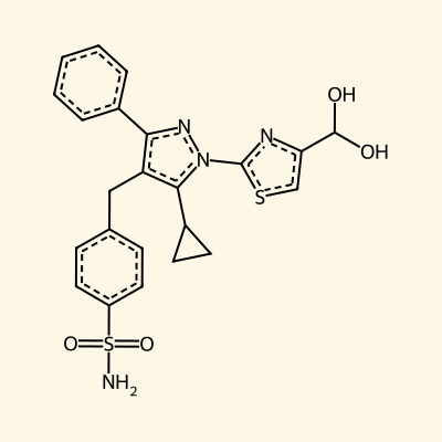 NS(=O)(=O)c1ccc(Cc2c(-c3ccccc3)nn(-c3nc(C(O)O)cs3)c2C2CC2)cc1